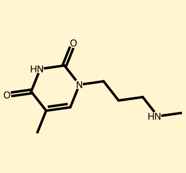 CNCCCn1cc(C)c(=O)[nH]c1=O